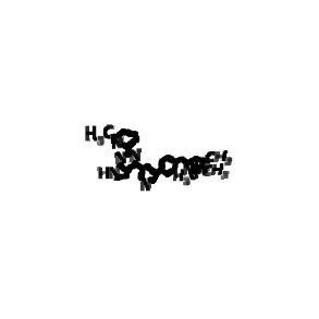 Cc1cccc(-c2nc(-c3cncc(-c4ccc(CC(=N)C[C@H](C)N(C)C)cc4)c3)c3cc[nH]c3n2)n1